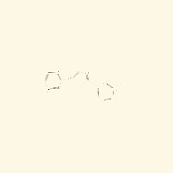 Cc1cccc(-c2ccc(-c3cccc(C)c3)s2)c1